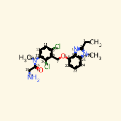 CCc1nc2c(OCc3c(Cl)ccc(N(C)C(=O)CN)c3Cl)cccc2n1C